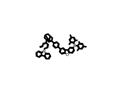 C=C/C=C(\C=C/Cn1c2ccccc2c2ccccc21)C12CC3CC(C1)CC(c1ccc(-c4ccc5oc6ccc(B(c7c(C)cc(C)cc7C)c7c(C)cc(C)cc7C)cc6c5c4)cc1)(C3)C2